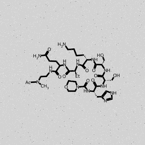 CC[C@H](NC(=O)[C@H](CCCCN)NC(=O)[C@H](CO)NC(=O)[C@H](CO)NC(=O)[C@H](Cc1c[nH]cn1)NC(=O)N1CCOCC1)C(=O)NC(CCC(N)=O)C(=O)NCCN(C)C(C)=O